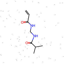 C=CC(=O)NCNC(=O)C(C)C